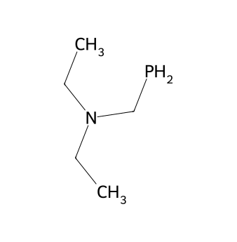 CCN(CC)CP